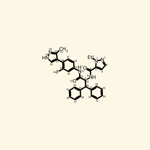 CCn1nccc1C(=O)N[C@H](C(=O)Nc1ccc(-c2c[nH]nc2C)c(F)c1)C(c1ccccc1)c1ccccc1